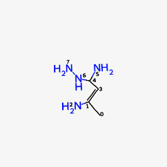 CC(N)=CC(N)NN